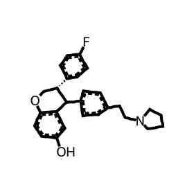 Oc1ccc2c(c1)C(c1ccc(CCN3CCCC3)cc1)[C@@H](c1ccc(F)cc1)CO2